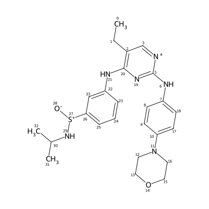 CCc1cnc(Nc2ccc(N3CCOCC3)cc2)nc1Nc1cccc([S+]([O-])NC(C)C)c1